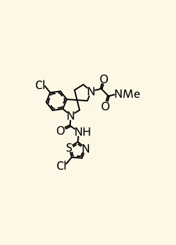 CNC(=O)C(=O)N1CCC2(C1)CN(C(=O)Nc1ncc(Cl)s1)c1ccc(Cl)cc12